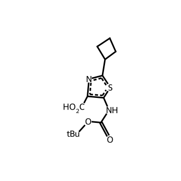 CC(C)(C)OC(=O)Nc1sc(C2CCC2)nc1C(=O)O